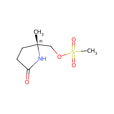 C[C@]1(COS(C)(=O)=O)CCC(=O)N1